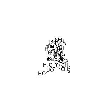 C=C1C[C@H](CCCO)OC1CC[C@H]1C[C@@H](C)C(=C)[C@@H](CC2O[C@H](C[C@H](C)CC)[C@H](C)[C@H]2C(C(O)C[C@H]2CC[C@@H]3O[C@@H]([C@H](/C=C/I)O[Si](C)(C)C(C)(C)C)[C@@H](O[Si](C)(C)C(C)(C)C)[C@@H](O[Si](C)(C)C(C)(C)C)[C@H]3O2)S(=O)(=O)c2ccccc2)O1